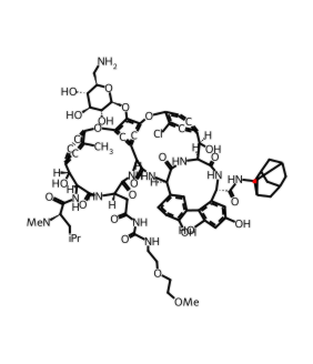 CN[C@H](CC(C)C)C(=O)N[C@H]1C(=O)N[C@@H](CC(=O)NC(=O)NCCOCCOC)C(=O)N[C@H]2C(=O)N[C@H]3C(=O)N[C@H](C(=O)N[C@H](C(=O)NC4C5CC6CC(C5)CC4C6)c4cc(O)cc(O)c4-c4cc3ccc4O)[C@H](O)c3ccc(c(Cl)c3)Oc3cc2cc(c3O[C@@H]2O[C@H](CN)[C@@H](O)[C@H](O)[C@H]2O)Oc2ccc(cc2C)[C@H]1O